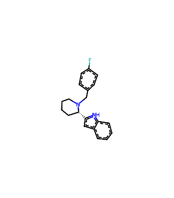 Fc1ccc(CN2CCCC[C@H]2c2cc3ccccc3[nH]2)cc1